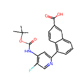 CC(C)(C)OC(=O)Nc1cc(-c2cccc3cc(C(=O)O)ccc23)ncc1F